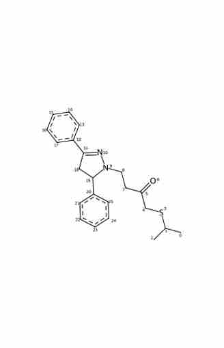 CC(C)SCC(=O)CCN1N=C(c2ccccc2)CC1c1ccccc1